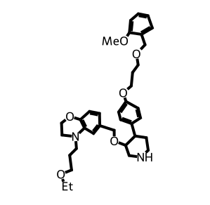 CCOCCCN1CCOc2ccc(COC3CNCCC3c3ccc(OCCCOCc4ccccc4OC)cc3)cc21